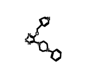 c1ccc(N2CCN(c3nsnc3OCc3ccncc3)CC2)cc1